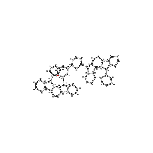 c1ccc(-n2c3ccccc3c3ccc4c(c5ccccc5n4-c4cccc(-c5cccc(-n6c7ccccc7c7ccc8c9ccccc9n(-c9ccccc9)c8c76)c5)c4)c32)cc1